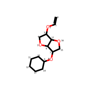 C=COC1COC2C(OC3CCCCC3)COC12